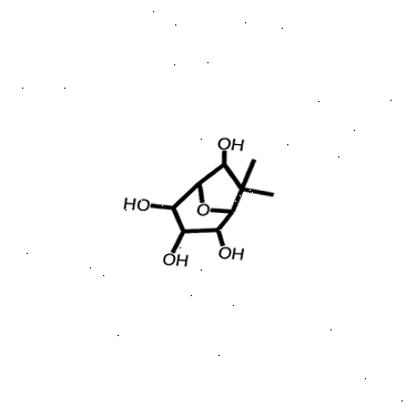 CC1(C)C(O)C2OC1C(O)C(O)C2O